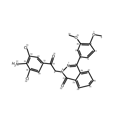 COc1ccc(-c2nn(CC(=O)c3cc(Cl)c(N)c(Cl)c3)c(=O)c3ccccc23)cc1OC